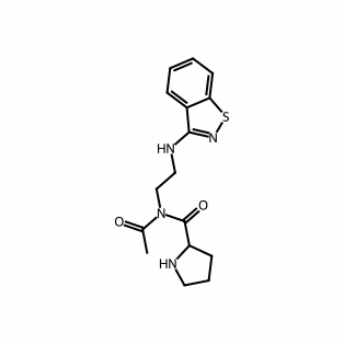 CC(=O)N(CCNc1nsc2ccccc12)C(=O)C1CCCN1